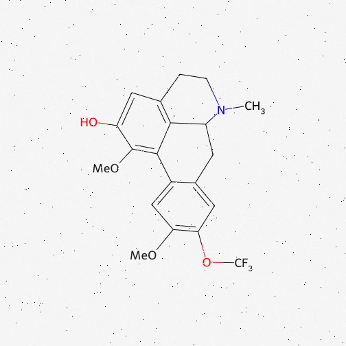 COc1cc2c(cc1OC(F)(F)F)CC1c3c(cc(O)c(OC)c3-2)CCN1C